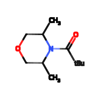 CC1COCC(C)N1C(=O)C(C)(C)C